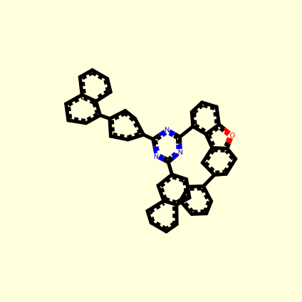 c1ccc(-c2ccc3oc4cccc(-c5nc(-c6ccc(-c7cccc8ccccc78)cc6)nc(-c6ccc7ccccc7c6)n5)c4c3c2)cc1